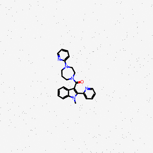 Cn1c(-c2ccccn2)c(C(=O)N2CCCN(c3ccccn3)CC2)c2ccccc21